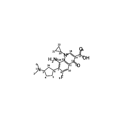 CN(C)C1CCC(c2c(F)cc3c(=O)c(C(=O)O)cn(C4CC4)c3c2N)C1